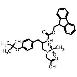 CC(C)(C)Oc1ccc(CC(CN(CC(=O)O)S(C)(=O)=O)NC(=O)OCC2c3ccccc3-c3ccccc32)cc1